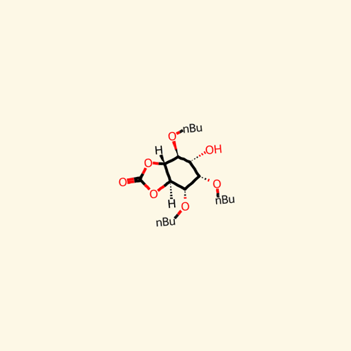 CCCCO[C@@H]1[C@H]2OC(=O)O[C@@H]2[C@@H](OCCCC)[C@H](O)[C@@H]1OCCCC